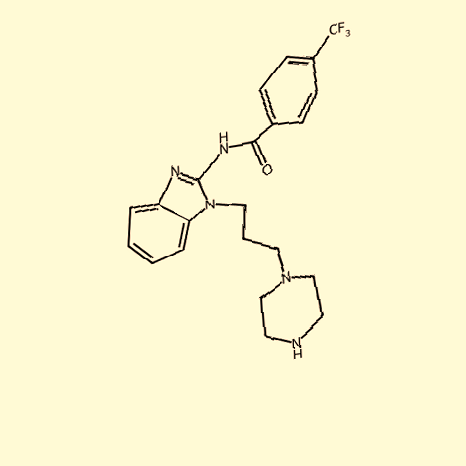 O=C(Nc1nc2ccccc2n1CCCN1CCNCC1)c1ccc(C(F)(F)F)cc1